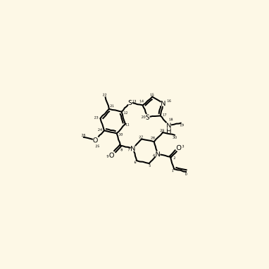 C=CC(=O)N1CCN(C(=O)c2cc(Sc3cnc(NC)s3)c(C)cc2OC)CC1CC